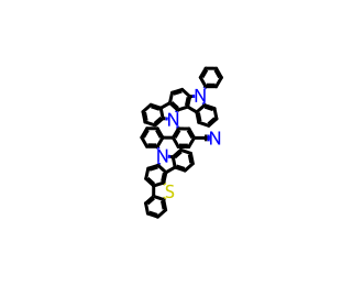 N#Cc1ccc(-c2ccccc2-n2c3ccccc3c3c4sc5ccccc5c4ccc32)c(-n2c3ccccc3c3ccc4c(c5ccccc5n4-c4ccccc4)c32)c1